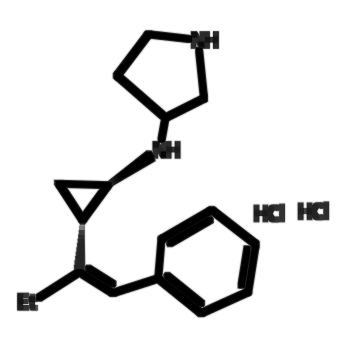 CCC(=Cc1ccccc1)[C@@H]1C[C@H]1NC1CCNC1.Cl.Cl